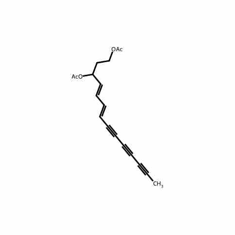 CC#CC#CC#CC=CC=CC(CCOC(C)=O)OC(C)=O